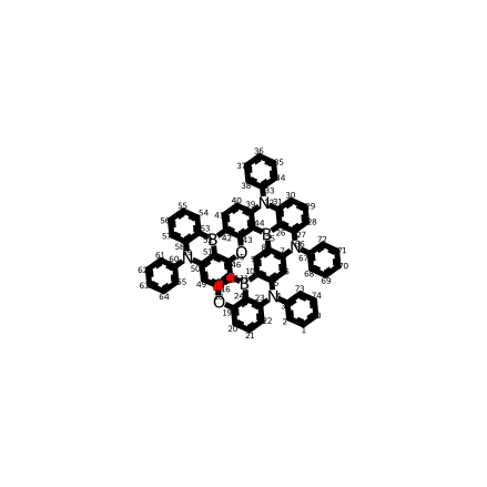 c1ccc(N2c3cc4c(cc3B3c5ccccc5Oc5cccc2c53)B2c3c(cccc3N(c3ccccc3)c3ccc5c(c32)Oc2cccc3c2B5c2ccccc2N3c2ccccc2)N4c2ccccc2)cc1